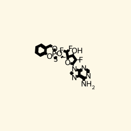 Nc1ncnc2c1ncn2[C@@H]1O[C@@](COP2(=S)OCc3ccccc3O2)(C(F)F)[C@@H](O)[C@@H]1F